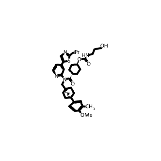 COc1ccc(C23CCC(CN(c4cc(-c5cnc(C(C)C)s5)ccn4)C(=O)[C@H]4CC[C@H](OC(=O)NCCCO)CC4)(CC2)CC3)cc1C